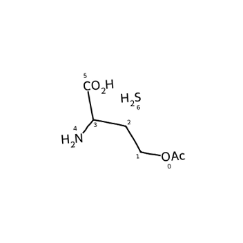 CC(=O)OCCC(N)C(=O)O.S